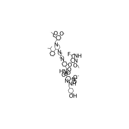 CCOc1nc2[nH]cc(F)c2cc1Oc1cc(N2CC3(C2)CN(C2CCN(Cc4ccc(OC)c5oc(C)cc45)CC2c2ccccc2C(C)C)C3)ccc1C(=O)NS(=O)(=O)c1cnc(NCC2CCC(C)(O)CC2)c([N+](=O)[O-])c1